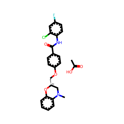 CC(=O)O.CN1C[C@@H](COc2ccc(C(=O)Nc3ccc(F)cc3Cl)cc2)Oc2ccccc21